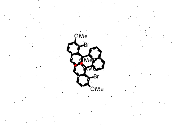 COc1ccc2ccc(OC)c(-c3cccc4cccc(-c5c(OC)ccc6ccc(OC)c(Br)c56)c34)c2c1Br